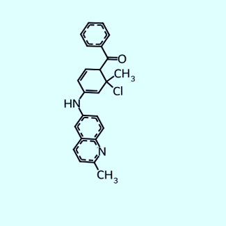 Cc1ccc2cc(NC3=CC(C)(Cl)C(C(=O)c4ccccc4)C=C3)ccc2n1